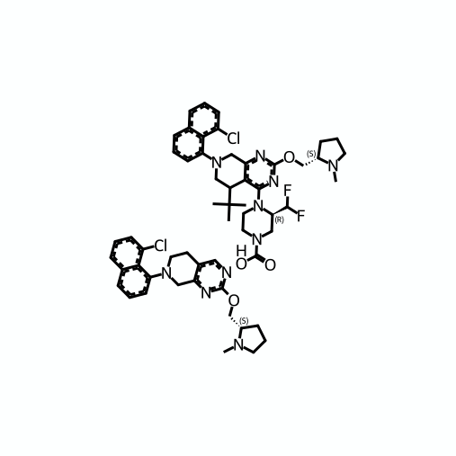 CN1CCC[C@H]1COc1nc2c(c(N3CCN(C(=O)O)C[C@@H]3C(F)F)n1)C(C(C)(C)C)CN(c1cccc3cccc(Cl)c13)C2.CN1CCC[C@H]1COc1ncc2c(n1)CN(c1cccc3cccc(Cl)c13)CC2